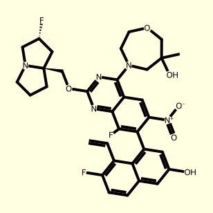 C=Cc1c(F)ccc2cc(O)cc(-c3c([N+](=O)[O-])cc4c(N5CCOCC(C)(O)C5)nc(OC[C@@]56CCCN5C[C@H](F)C6)nc4c3F)c12